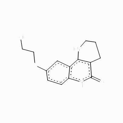 O=c1[nH]c2ccc(OCCO)cc2c2c1CCCN2